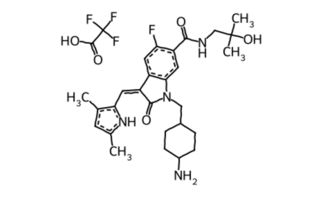 Cc1cc(C)c(/C=C2\C(=O)N(CC3CCC(N)CC3)c3cc(C(=O)NCC(C)(C)O)c(F)cc32)[nH]1.O=C(O)C(F)(F)F